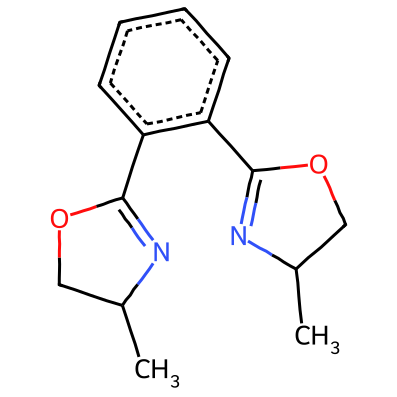 CC1COC(c2ccccc2C2=NC(C)CO2)=N1